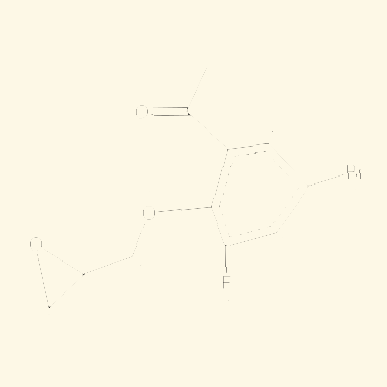 CC(=O)c1cc(Br)cc(F)c1OCC1CO1